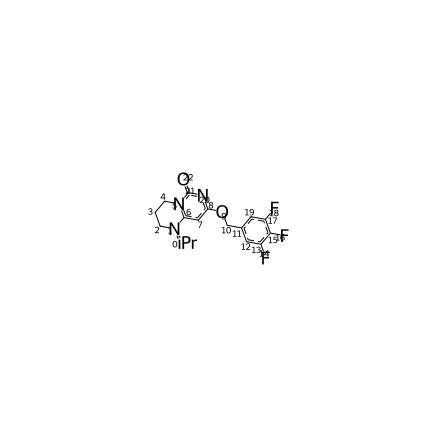 CC(C)N1CCCn2c1cc(OCc1cc(F)c(F)c(F)c1)nc2=O